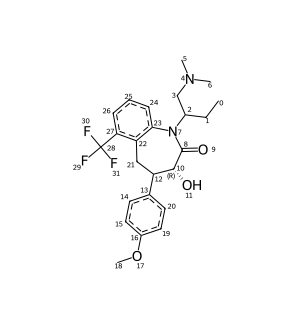 CCC(CN(C)C)N1C(=O)[C@H](O)C(c2ccc(OC)cc2)Cc2c1cccc2C(F)(F)F